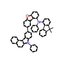 CC1(C)c2ccccc2-c2c(N(c3ccccc3)c3cccc4oc5ccc(-c6ccc7c(c6)c6c8ccccc8ccc6n7-c6ccccc6)cc5c34)cccc21